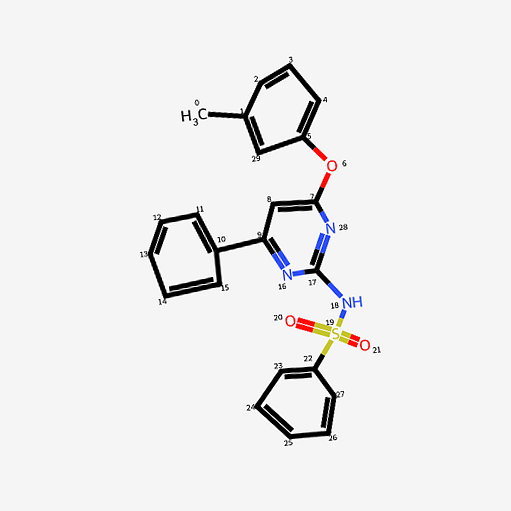 Cc1cccc(Oc2cc(-c3ccccc3)nc(NS(=O)(=O)c3ccccc3)n2)c1